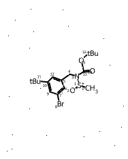 C[S+]([O-])N(Cc1cc(Br)cc(C(C)(C)C)c1)C(=O)OC(C)(C)C